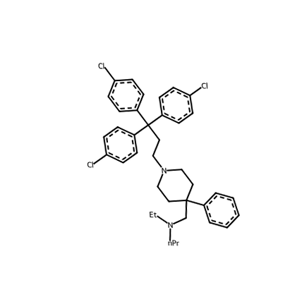 CCCN(CC)CC1(c2ccccc2)CCN(CCC(c2ccc(Cl)cc2)(c2ccc(Cl)cc2)c2ccc(Cl)cc2)CC1